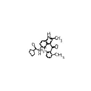 Cc1cccc(C)c1C(=O)c1c(C)[nH]c2ccc(NC(=O)C3CCCC3)cc12